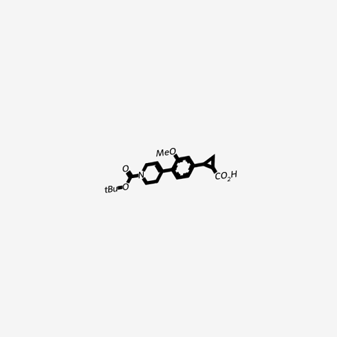 COc1cc(C2CC2C(=O)O)ccc1C1=CCN(C(=O)OC(C)(C)C)CC1